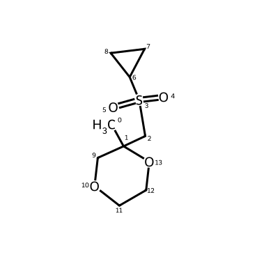 CC1(CS(=O)(=O)C2CC2)COCCO1